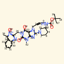 CC#CCn1c(N2CCC[C@@H](NC(=O)OC(C)(C)C)C2)nc2c1c(=O)n(Cc1nc3ccccc3c(C)[n+]1[O-])c(=O)n2C